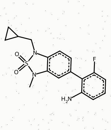 CN1c2cc(-c3c(N)cccc3F)ccc2N(CC2CC2)S1(=O)=O